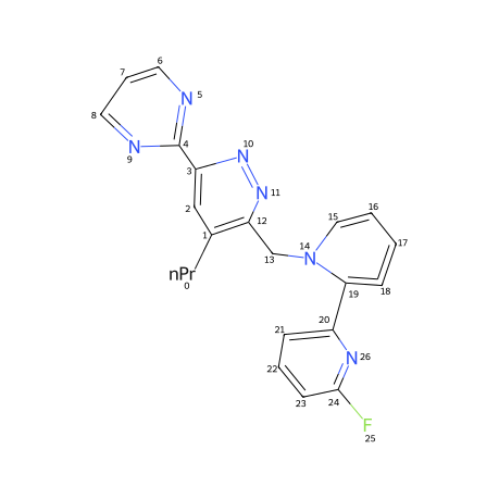 CCCc1cc(-c2ncccn2)nnc1CN1C=CC=C=C1c1cccc(F)n1